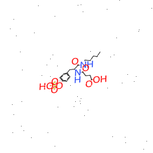 CCCCCNC(=O)C(Cc1ccc(OS(=O)(=O)O)cc1)NC(=O)CCC(=O)O